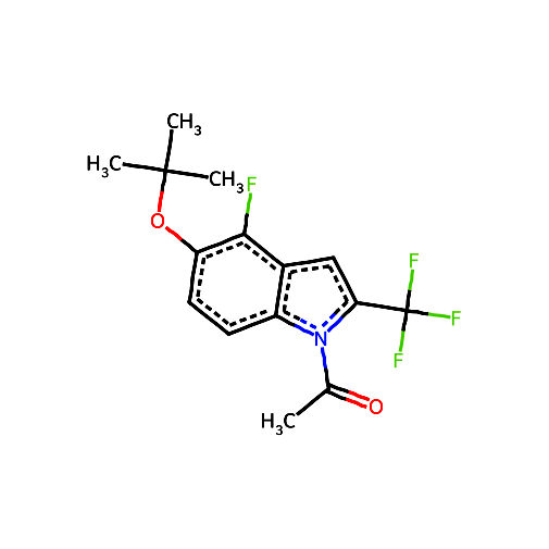 CC(=O)n1c(C(F)(F)F)cc2c(F)c(OC(C)(C)C)ccc21